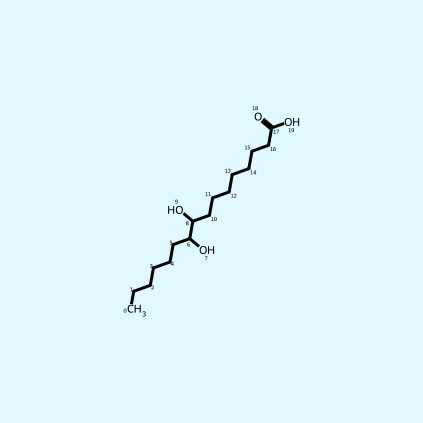 CCCCCCC(O)C(O)CCCCCCCC(=O)O